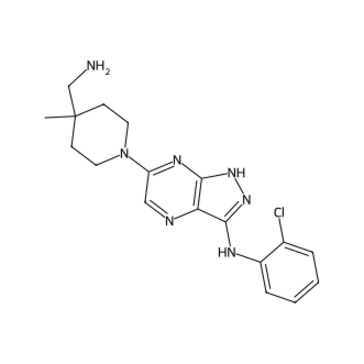 CC1(CN)CCN(c2cnc3c(Nc4ccccc4Cl)n[nH]c3n2)CC1